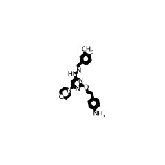 Cc1cccc(/C=N/Nc2cc(N3CCOCC3)nc(OCCc3ccc(N)cc3)n2)c1